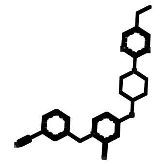 CCc1cnc(N2CCC(Oc3ccn(Cc4cccc(C#N)c4)c(=O)c3)CC2)nc1